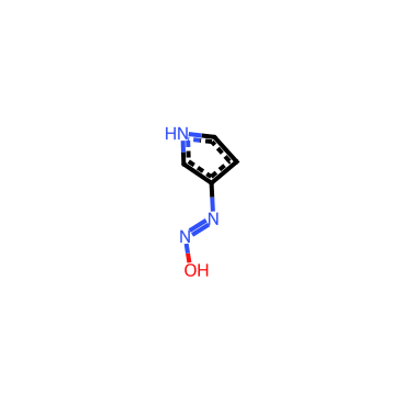 ON=Nc1cc[nH]c1